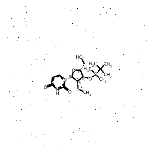 CS[C@@H]1[C@H](O[Si](C)(C)C(C)(C)C)[C@@H](CO)O[C@H]1n1ccc(=O)[nH]c1=O